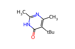 Cc1nc(C)c(C(C)(C)C)c(=O)[nH]1